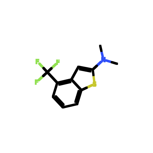 CN(C)c1cc2c(C(F)(F)F)cccc2s1